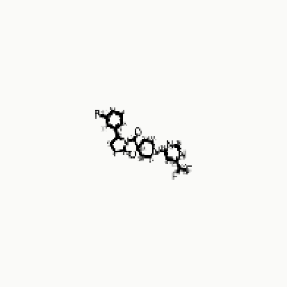 O=C1N2C(CCC2c2cccc(F)c2)OC12CCN(c1cc(C(F)F)ncn1)CC2